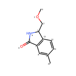 COCC1NC(=O)c2cc(C)ccc21